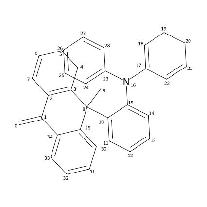 C=C1C2=C(CCC=C2)C(C)(c2ccccc2N(C2=CCCC=C2)c2ccccc2)c2ccccc21